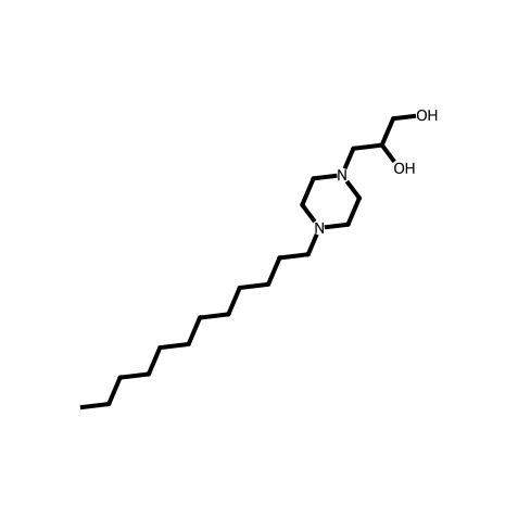 CCCCCCCCCCCCN1CCN(CC(O)CO)CC1